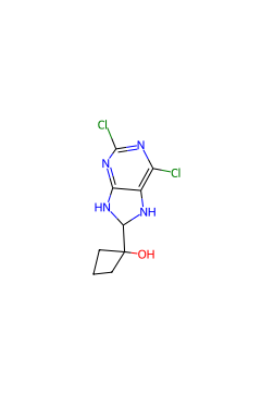 OC1(C2Nc3nc(Cl)nc(Cl)c3N2)CCC1